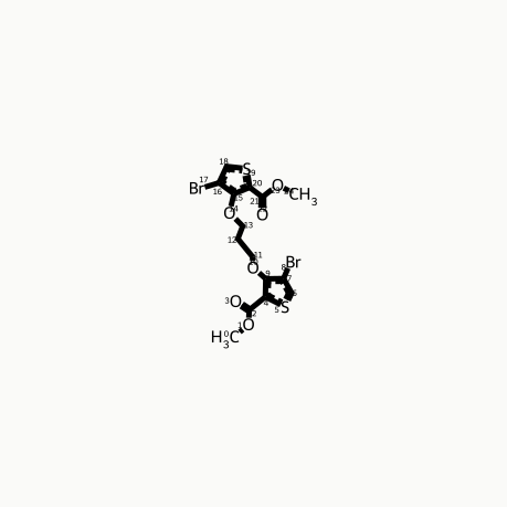 COC(=O)c1scc(Br)c1OCCCOc1c(Br)csc1C(=O)OC